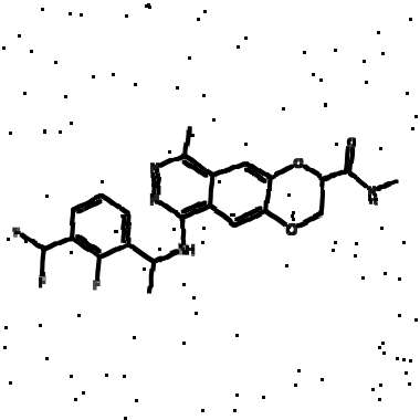 CNC(=O)C1COc2cc3c(NC(C)c4cccc(C(F)F)c4F)nnc(C)c3cc2O1